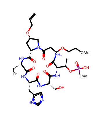 C=CCO[C@H]1C[C@@H](C(=O)N[C@@H](CC(C)C)C(=O)N[C@@H](Cc2cnc[nH]2)C(=O)N[C@@H](CO)C(=O)N[C@H](C(N)=O)[C@@H](C)OP(=O)(O)OC)N(C(=O)CCOCCOC)C1